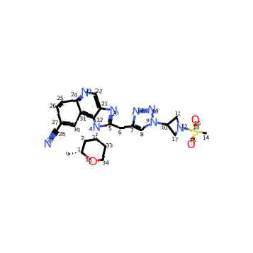 C[C@@H]1C[C@H](n2c(Cc3cn(C4CN(S(C)(=O)=O)C4)nn3)nc3cnc4ccc(C#N)cc4c32)CCO1